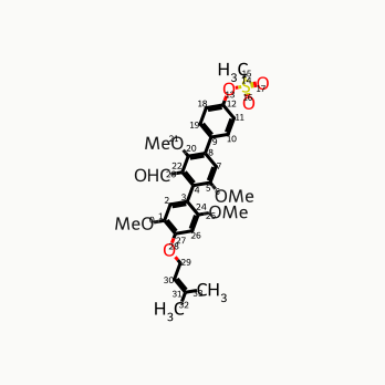 COc1cc(-c2c(OC)cc(-c3ccc(OS(C)(=O)=O)cc3)c(OC)c2C=O)c(OC)cc1OCC=C(C)C